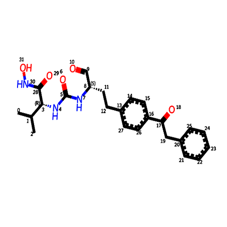 CC(C)[C@@H](NC(=O)N[C@H](C=O)CCc1ccc(C(=O)Cc2ccccc2)cc1)C(=O)NO